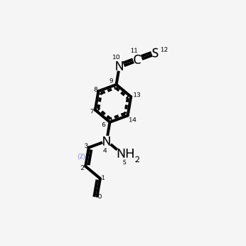 C=C/C=C\N(N)c1ccc(N=C=S)cc1